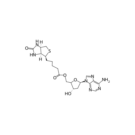 Nc1ncnc2c1ncn2[C@H]1C[C@H](O)C(COC(=O)CCCC[C@@H]2SC[C@@H]3NC(=O)N[C@@H]32)O1